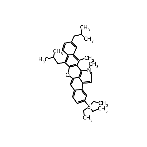 CC[Si](CC)(CC)c1ccc2cc3c4c([n+](C)ccc4c2c1)-c1c(c(CC(C)C)c2ccc(CC(C)C)cc2c1C)O3